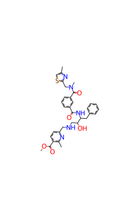 COC(=O)c1ccc(CNCC(O)C(Cc2ccccc2)NC(=O)c2cccc(C(=O)N(C)Cc3nc(C)cs3)c2)nc1C